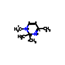 CC1=NC(C)(C)N(C)C=C1